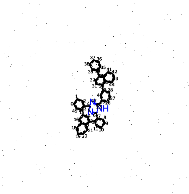 c1ccc(C2=NC(c3ccccc3-c3cccc4ccccc34)NC(c3cccc(-c4ccc(-c5ccccc5)c5ccccc45)c3)=N2)cc1